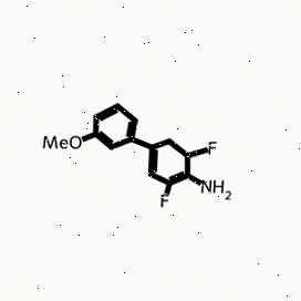 COc1cccc(C2=CC(F)=C(N)C(F)C2)c1